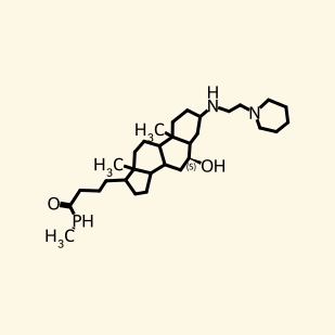 CPC(=O)CCCC1CCC2C3C[C@H](O)C4CC(NCCN5CCCCC5)CCC4(C)C3CCC12C